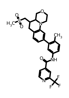 Cc1ccc(NC(=O)c2ccnc(C(F)(F)F)c2)cc1-c1ccc2c(c1)N1CCOCC1C(CS(C)(=O)=O)C2